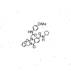 COc1ccc(NC(=O)Cn2c(=O)n(Cc3ccco3)c(=O)c3ccc(C(=O)NC4CCCC4)cc32)cc1